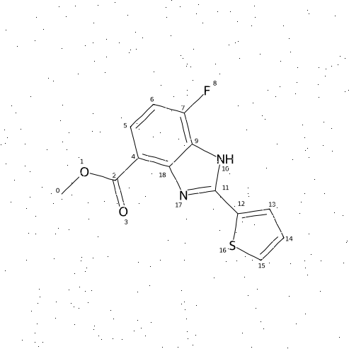 COC(=O)c1ccc(F)c2[nH]c(-c3cccs3)nc12